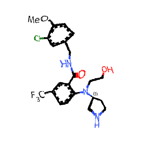 COc1ccc(CNC(=O)c2cc(C(F)(F)F)ccc2N(CCO)[C@H]2CCNC2)cc1Cl